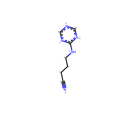 N#CCCCNc1ncncn1